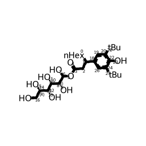 CCCCCCC(CC(=O)OC(O)[C@H](O)[C@@H](O)[C@H](O)[C@H](O)CO)c1cc(C(C)(C)C)c(O)c(C(C)(C)C)c1